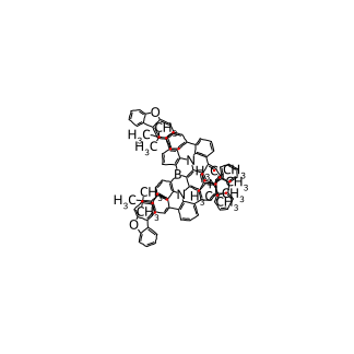 CC(C)(C)c1ccc(-c2cccc(-c3ccc(C(C)(C)C)cc3)c2N2c3cc(-c4ccc5oc6ccccc6c5c4)ccc3B3c4ccc(-c5ccc6oc7ccccc7c6c5)cc4N(c4c(-c5ccc(C(C)(C)C)cc5)cccc4-c4ccc(C(C)(C)C)cc4)c4cc(-n5c6ccccc6c6ccccc65)cc2c43)cc1